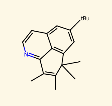 CC1=C(C)C(C)(C)c2cc(C(C)(C)C)cc3ccnc1c23